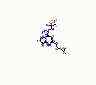 CC(C)(O)CNc1cc(CCC2CC2)nc2ccnn12